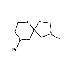 CC(C)N1CCOC2(CCN(C)C2)C1